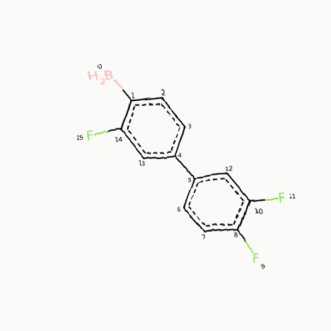 Bc1ccc(-c2ccc(F)c(F)c2)cc1F